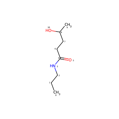 CCCNC(=O)CCC(C)O